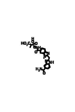 CC(C(=O)O)P(=O)(O)ONC(=O)c1ccc2nc(Cc3nc4cc(C(N)=O)ccc4[nH]3)n(C)c2c1